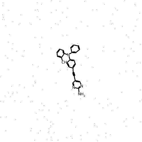 [CH]c1ccccc1N(c1ccccc1)c1ccc(C#Cc2cnc(N)nc2)cc1